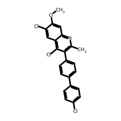 COc1cc2nc(C)c(-c3ccc(-c4ccc(Cl)cc4)cc3)c(Cl)c2cc1Cl